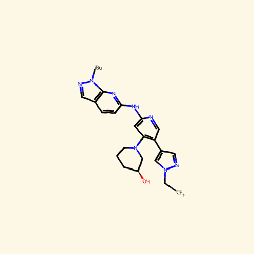 CCC(C)n1ncc2ccc(Nc3cc(N4CCC[C@H](O)C4)c(-c4cnn(CC(F)(F)F)c4)cn3)nc21